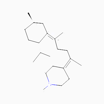 CC(CC/C(C)=C1/C[C@H](C)CC[C@H]1C(C)C)=C1CCN(C)CC1